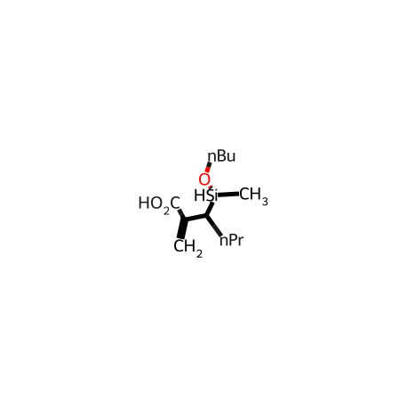 C=C(C(=O)O)C(CCC)[SiH](C)OCCCC